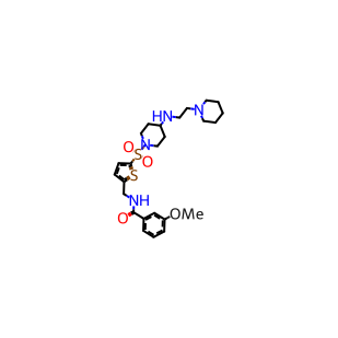 COc1cccc(C(=O)NCc2ccc(S(=O)(=O)N3CCC(NCCN4CCCCC4)CC3)s2)c1